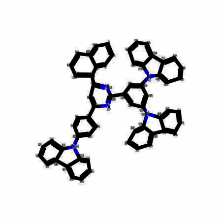 c1ccc2c(-c3cc(-c4ccc(-n5c6ccccc6c6ccccc65)cc4)nc(-c4cc(-n5c6ccccc6c6ccccc65)cc(-n5c6ccccc6c6ccccc65)c4)n3)cccc2c1